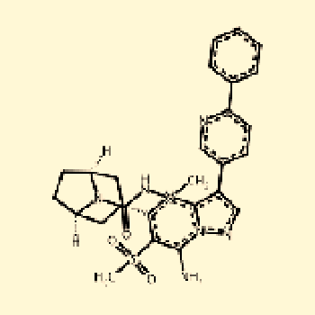 CONC(=O)N1[C@@H]2CC[C@H]1C[C@H](c1nc3c(-c4ccc(-c5ccccc5)nc4)cnn3c(N)c1S(C)(=O)=O)C2